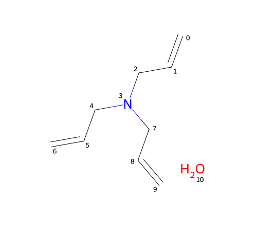 C=CCN(CC=C)CC=C.O